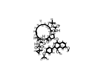 COc1ccc2c(O[C@@H]3C[C@H]4C(=O)N[C@]5(C(=O)NS(=O)(=O)C6(C)CC6)C[C@H]5/C=C\CC[C@H](C)C[C@@H](C)[C@H](N(C(=O)O)C(C)(C)C)C(=O)N4C3)nc(-c3ccc(OC(C)C)cc3)c(OC)c2c1